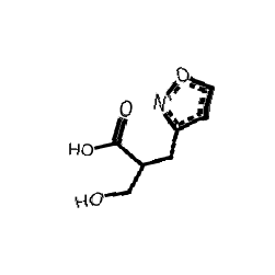 O=C(O)C(CO)Cc1ccon1